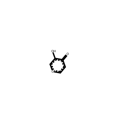 O=c1ccocc1O